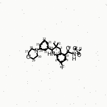 CC1(C)Cc2c(cc(F)cc2C(=O)NS(C)(=O)=O)NC1c1cccc(N2CCOCC2)c1